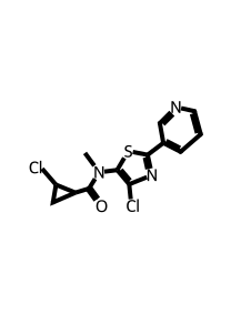 CN(C(=O)C1CC1Cl)c1sc(-c2cccnc2)nc1Cl